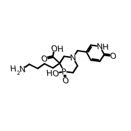 NCCCCC1(C(=O)O)CN(Cc2ccc(=O)[nH]c2)CCP1(=O)O